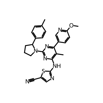 COc1ccc(-c2nc(N3CCCC3c3ccc(C)cc3)nc(Nc3ncc(C#N)s3)c2C)cn1